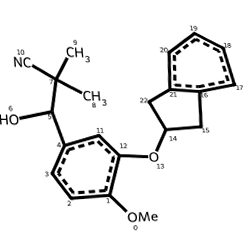 COc1ccc(C(O)C(C)(C)C#N)cc1OC1Cc2ccccc2C1